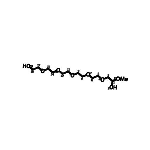 COC(O)COCCOCCOCCOCCOCCO